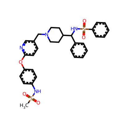 CS(=O)(=O)Nc1ccc(Oc2ccc(CN3CCC(C(NS(=O)(=O)c4ccccc4)c4ccccc4)CC3)cn2)cc1